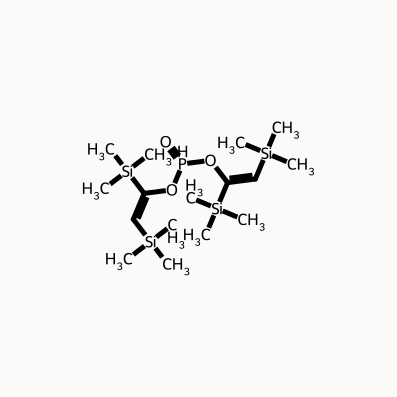 C[Si](C)(C)/C=C(\O[PH](=O)O/C(=C\[Si](C)(C)C)[Si](C)(C)C)[Si](C)(C)C